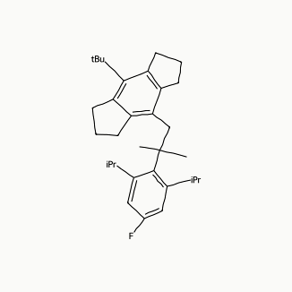 CC(C)c1cc(F)cc(C(C)C)c1C(C)(C)Cc1c2c(c(C(C)(C)C)c3c1CCC3)CCC2